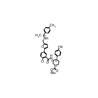 Cc1ccc([C@@H](C)NCc2ccc(-c3ccc(Cl)c(C(=O)N[C@H]4CN(C(=O)OC(C)(C)C)CC[C@@H]4c4ccc(C#N)cc4)c3)o2)cc1